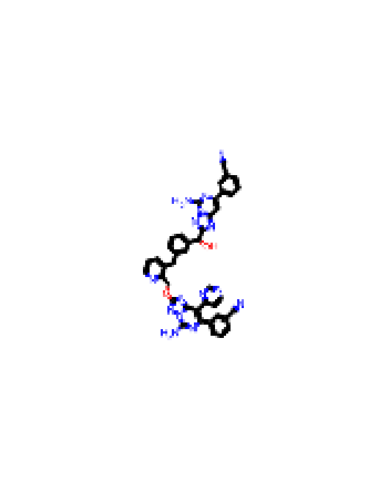 N#Cc1cccc(-c2cc3nc(C(O)c4cccc(Cc5cccnc5COc5nc6c(-c7ccncn7)c(-c7cccc(C#N)c7)nc(N)n6n5)c4)nn3c(N)n2)c1